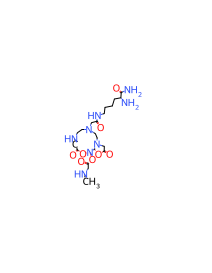 CNCC(=O)ON1OC(=O)CNCCN(CC(=O)NCCCC[C@@H](N)C(N)=O)CCN2CC(=O)OC21